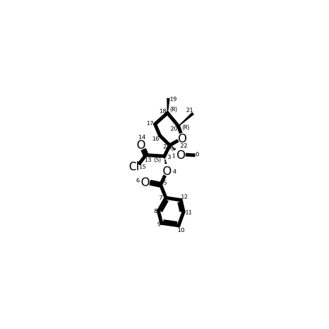 CO[C@]1([C@H](OC(=O)c2ccccc2)C(=O)Cl)CC[C@@H](C)[C@@H](C)O1